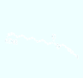 CCCCCCCC/C=C\CCCCCCCC(=O)OCC#CI